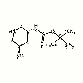 C[C@H]1CNC[C@H](NC(=O)OC(C)(C)C)C1